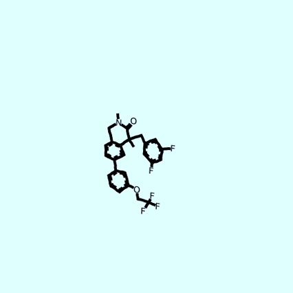 CN1Cc2ccc(-c3cccc(OCC(F)(F)F)c3)cc2C(C)(Cc2cc(F)cc(F)c2)C1=O